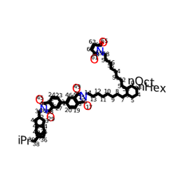 CCCCCCCCC1C(CCCCCC)CCC(CCCCCCCCN2C(=O)c3ccc(-c4ccc5c(c4)C(=O)N(CC4CC6C7CC(CC(C)C)C(C7)C6C4)C5=O)cc3C2=O)C1CCCCCCCCN1C(=O)C=CC1=O